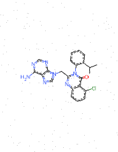 CC(C)c1ccccc1-n1c(Cn2cnc3c(N)ncnc32)nc2cccc(Cl)c2c1=O